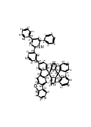 C1=C(c2ccccc2)NC(c2cccc(-c3ccc4c(c3)-c3cc5oc6ccccc6c5cc3C43c4ccccc4C4(c5ccccc5-c5ccccc54)c4ccccc43)c2)N=C1c1ccccc1